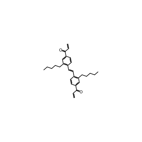 C=CC(=O)c1ccc(/C=C/c2ccc(C(=O)C=C)cc2CCCCC)c(CCCCC)c1